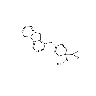 COC1(C2CO2)C=CC(Cc2cccc3c2Cc2ccccc2-3)=CC1